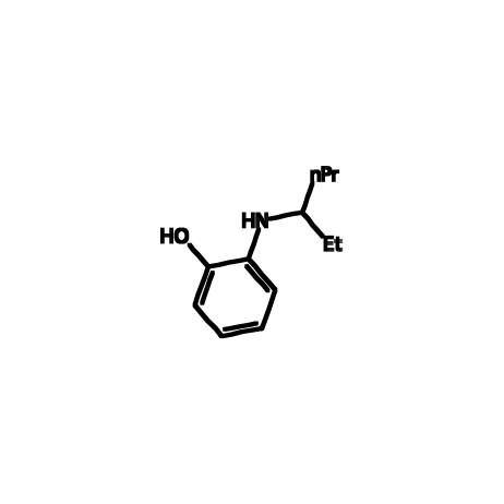 CCCC(CC)Nc1ccccc1O